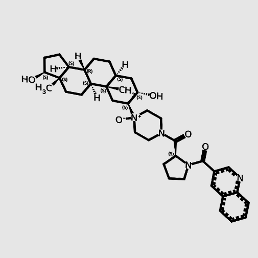 C[C@]12C[C@H]([N+]3([O-])CCN(C(=O)[C@@H]4CCCN4C(=O)c4cnc5ccccc5c4)CC3)[C@@H](O)C[C@@H]1CC[C@@H]1[C@@H]2CC[C@]2(C)[C@@H](O)CC[C@@H]12